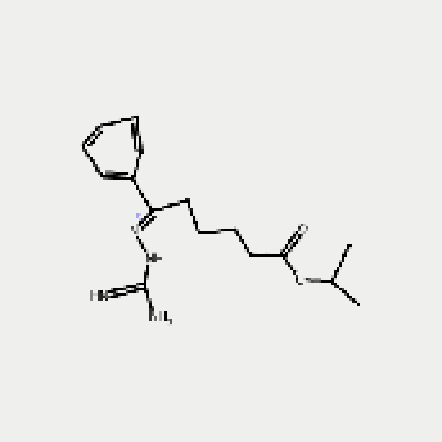 CC(C)OC(=O)CCCC/C(=N\NC(=N)N)c1ccccc1